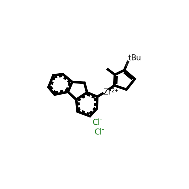 CC1=[C]([Zr+2][c]2cccc3c2Cc2ccccc2-3)CC=C1C(C)(C)C.[Cl-].[Cl-]